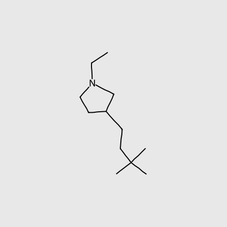 CCN1CCC(CCC(C)(C)C)C1